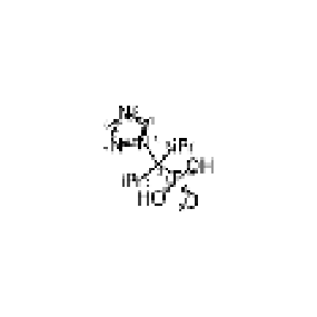 CC(C)C(C(C)C)(n1cncn1)P(=O)(O)O